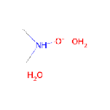 C[NH+](C)[O-].O.O